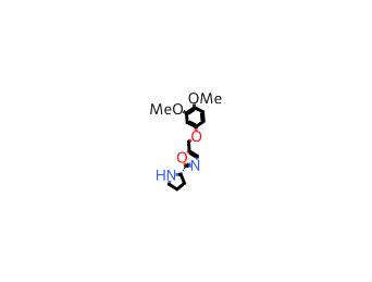 COc1ccc(OCc2cnc([C@@H]3CCCN3)o2)cc1OC